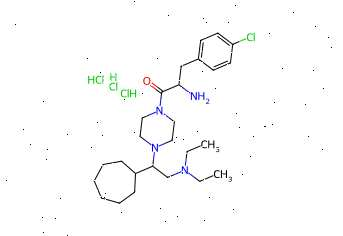 CCN(CC)CC(C1CCCCCC1)N1CCN(C(=O)C(N)Cc2ccc(Cl)cc2)CC1.Cl.Cl.Cl